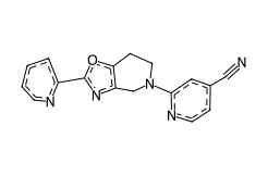 N#Cc1ccnc(N2CCc3oc(-c4ccccn4)nc3C2)c1